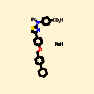 CC(C)N(c1ccc(C(=O)O)cc1)c1nc(-c2ccc(OCc3ccc(C4CCCCC4)cc3)cc2)cs1.[NaH]